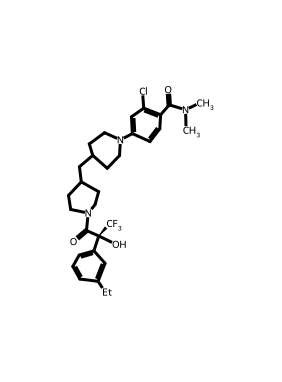 CCc1cccc([C@@](O)(C(=O)N2CCC(CC3CCN(c4ccc(C(=O)N(C)C)c(Cl)c4)CC3)CC2)C(F)(F)F)c1